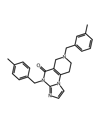 Cc1ccc(Cn2c(=O)c3c(n4ccnc24)CCN(Cc2cccc(C)c2)C3)cc1